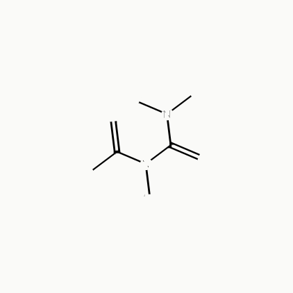 C=C(C)N(C)C(=C)N(C)C